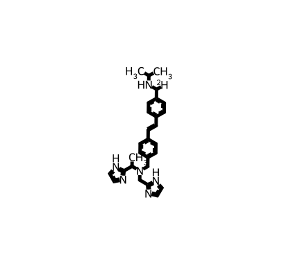 [2H]C(NC(C)C)c1ccc(/C=C/c2ccc(CN(Cc3ncc[nH]3)C(C)c3ncc[nH]3)cc2)cc1